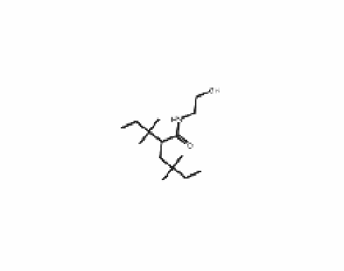 CCC(C)(C)CC(C(=O)NCCO)C(C)(C)CC